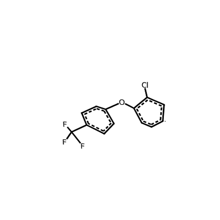 FC(F)(F)c1ccc(Oc2cc[c]cc2Cl)cc1